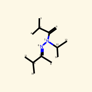 C=C(C(C)C)N(/N=C(\C)C(C)C)C(C)C